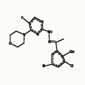 C/C(=N\Nc1ncc(F)c(N2CCOCC2)n1)c1cc(Br)cc(Cl)c1O